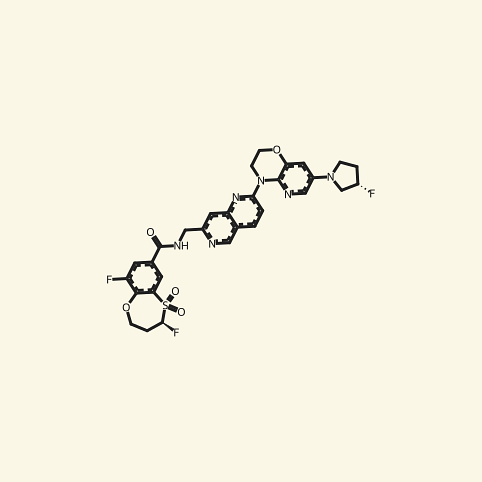 O=C(NCc1cc2nc(N3CCOc4cc(N5CC[C@H](F)C5)cnc43)ccc2cn1)c1cc(F)c2c(c1)S(=O)(=O)[C@@H](F)CCO2